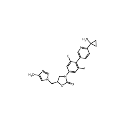 Cc1cn(C[C@H]2CN(c3cc(F)c(-c4ccc(C5(N)CC5)nc4)c(F)c3)C(=O)O2)nn1